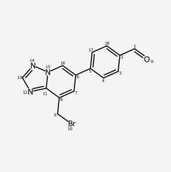 O=Cc1ccc(-c2cc(CBr)c3ncnn3c2)cc1